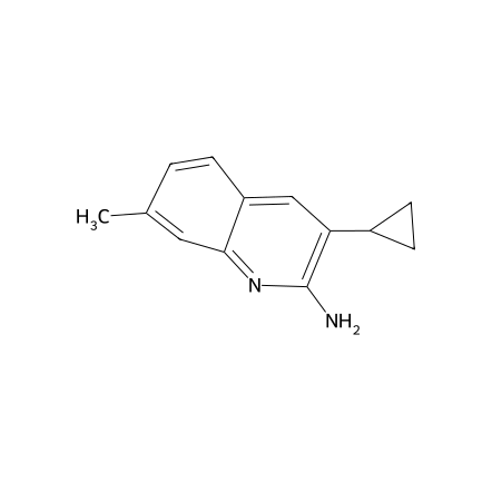 Cc1ccc2cc(C3CC3)c(N)nc2c1